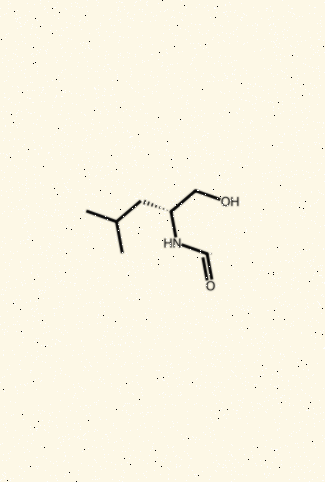 CC(C)C[C@H](CO)N[C]=O